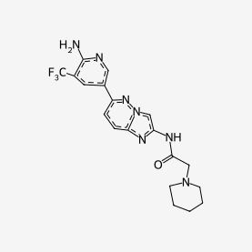 Nc1ncc(-c2ccc3nc(NC(=O)CN4CCCCC4)cn3n2)cc1C(F)(F)F